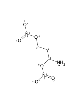 NC([CH]CO[N+](=O)[O-])O[N+](=O)[O-]